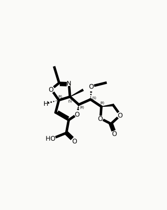 CO[C@H]([C@H]1COC(=O)O1)[C@@H]1OC(C(=O)O)=C[C@H]2OC(C)=N[C@@]21C